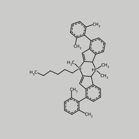 CCCCCC[Si]1(C)C2=Cc3c(-c4c(C)cccc4C)cccc3[CH]2[Hf]([CH3])([CH3])[CH]2C1=Cc1c(-c3c(C)cccc3C)cccc12